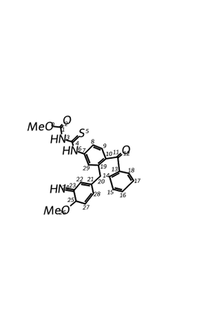 COC(=O)NC(=S)Nc1ccc(C(=O)c2ccccc2)c(CC2=CC(=N)C(OC)C=C2)c1